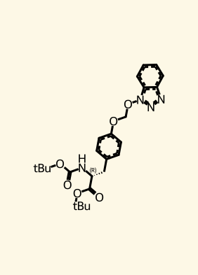 CC(C)(C)OC(=O)N[C@H](Cc1ccc(OCOn2nnc3ccccc32)cc1)C(=O)OC(C)(C)C